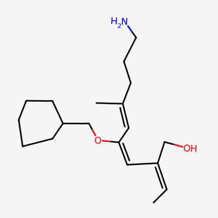 C\C=C(/C=C(\C=C(/C)CCCN)OCC1CCCCC1)CO